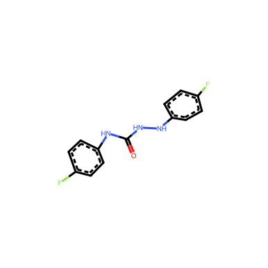 O=C(NNc1ccc(F)cc1)Nc1ccc(F)cc1